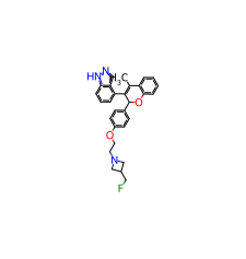 CC1=C(c2cccc3[nH]ncc23)C(c2ccc(OCCN3CC(CF)C3)cc2)Oc2ccccc21